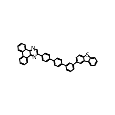 c1cc(-c2ccc(-c3ccc(-c4cnc5c6ccccc6c6ccccc6c5n4)cc3)cc2)cc(-c2ccc3sc4ccccc4c3c2)c1